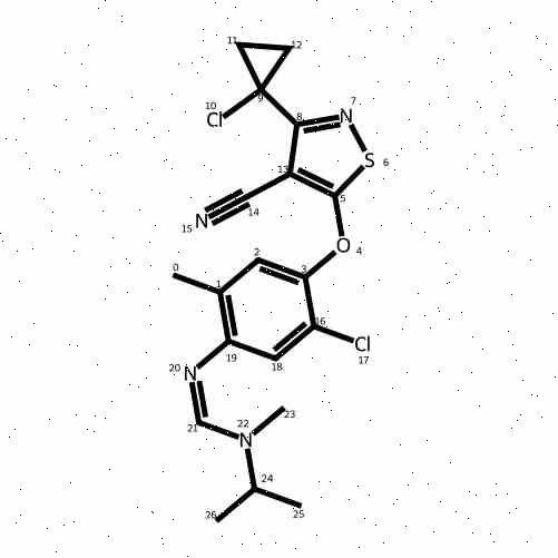 Cc1cc(Oc2snc(C3(Cl)CC3)c2C#N)c(Cl)cc1/N=C\N(C)C(C)C